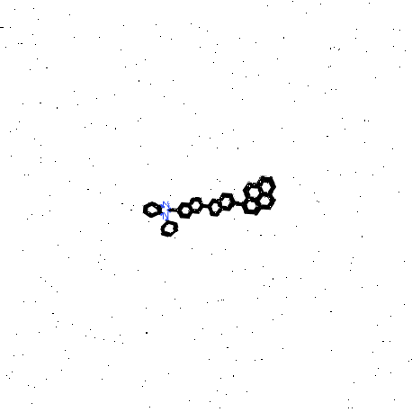 C1=CCC(n2c(-c3ccc4cc(-c5ccc6cc(-c7ccc8ccc9cccc%10ccc7c8c9%10)ccc6c5)ccc4c3)nc3ccccc32)C=C1